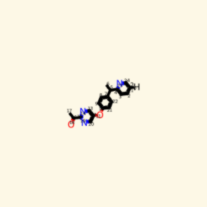 [2H]c1ccc(C(C)c2ccc(Oc3cnc(C(C)=O)nc3)cc2)nc1